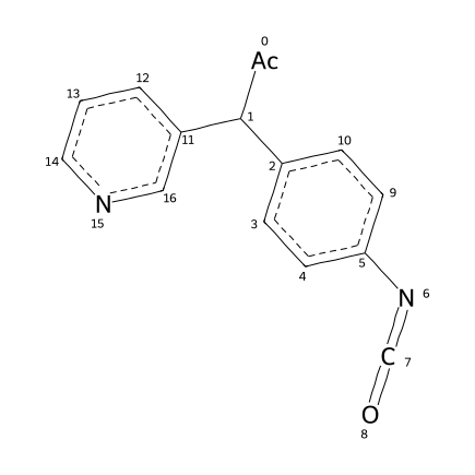 CC(=O)C(c1ccc(N=C=O)cc1)c1cccnc1